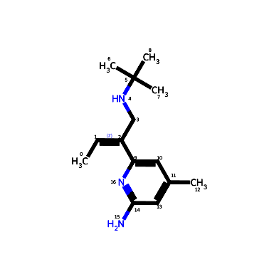 C/C=C(/CNC(C)(C)C)c1cc(C)cc(N)n1